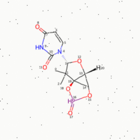 CC1(C)[C@H](n2ccc(=O)[nH]c2=O)O[C@@H]2C3O[PH](=O)O[C@]321